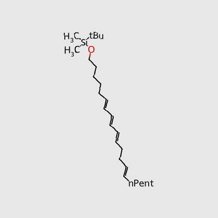 CCCCCC=CCCC=CC=CC=CCCCCCO[Si](C)(C)C(C)(C)C